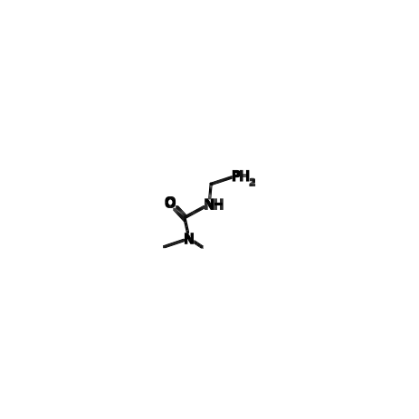 CN(C)C(=O)NCP